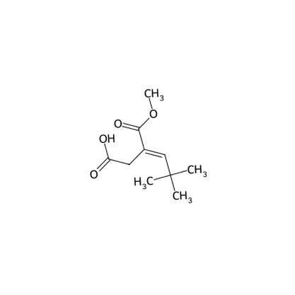 COC(=O)C(=CC(C)(C)C)CC(=O)O